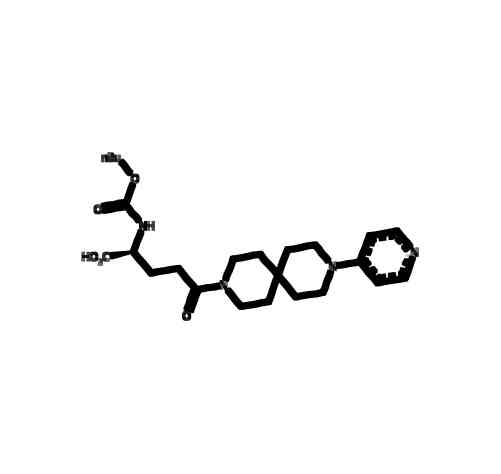 CCCCOC(=O)N[C@@H](CCC(=O)N1CCC2(CC1)CCN(c1ccncc1)CC2)C(=O)O